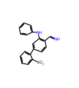 N=Cc1ccc(-c2ccccc2[N+](=O)[O-])cc1Nc1ccccc1